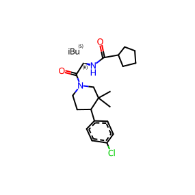 CC[C@H](C)[C@@H](NC(=O)C1CCCC1)C(=O)N1CCC(c2ccc(Cl)cc2)C(C)(C)C1